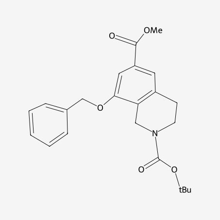 COC(=O)c1cc2c(c(OCc3ccccc3)c1)CN(C(=O)OC(C)(C)C)CC2